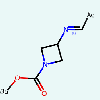 CC(=O)/C=N/C1CN(C(=O)OC(C)(C)C)C1